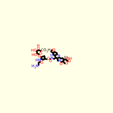 CC[C@@]1(O)C(=O)OCc2c1cc1n(c2=O)Cc2c-1nc1cc3c(cc1c2CNC(=O)OCc1ccc(O[C@@H]2O[C@H](C(=O)O)[C@@H](O)[C@H](O)[C@H]2O)c(NC(=O)CCN)c1)CCO3